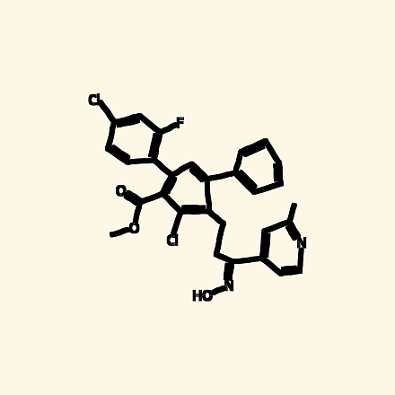 COC(=O)c1c(-c2ccc(Cl)cc2F)cc(-c2ccccc2)c(CC/C(=N\O)c2ccnc(C)c2)c1Cl